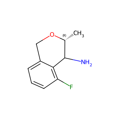 C[C@H]1OCc2cccc(F)c2C1N